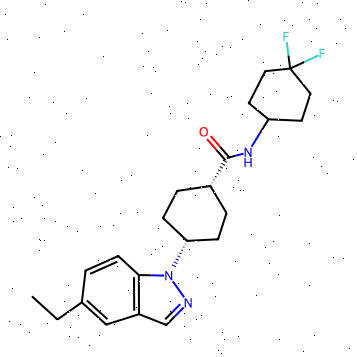 CCc1ccc2c(cnn2[C@H]2CC[C@@H](C(=O)NC3CCC(F)(F)CC3)CC2)c1